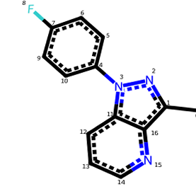 Cc1nn(-c2ccc(F)cc2)c2cccnc12